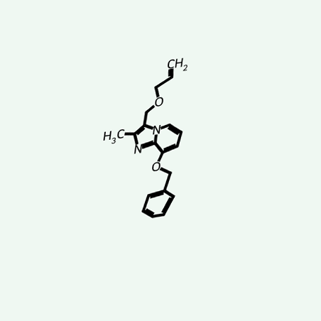 C=CCOCc1c(C)nc2c(OCc3ccccc3)cccn12